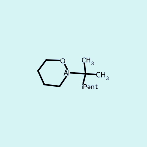 CCCC(C)[C](C)(C)[Al]1[CH2]CCC[O]1